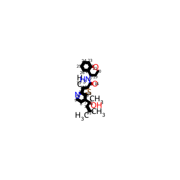 CC(C)=CC(C)(O)c1ccnc2c(C)c(C(=O)NC3CCOc4ccccc43)sc12